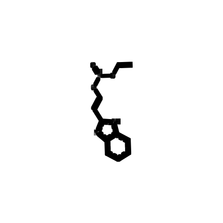 C=CO[PH](=O)OC=Cc1nc2ccccc2[nH]1